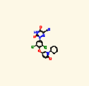 N#Cc1nn(-c2cc(Cl)c(Oc3ccc(=O)n(C4CCCCC4)c3)c(Cl)c2)c(=O)[nH]c1=O